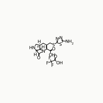 Nc1nnc(SCC2=C(C(=O)O)N3C(=O)[C@H]4NC[C@@H](C2)[C@H]43)s1.O=C(O)C(F)(F)F